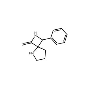 O=C1NC(c2ccccc2)C12CCCN2